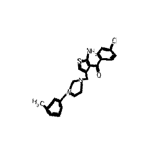 Cc1cccc(N2CCN(Cc3csc(N)c3C(=O)c3ccc(Cl)cc3)CC2)c1